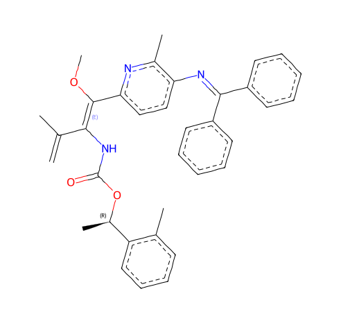 C=C(C)/C(NC(=O)O[C@H](C)c1ccccc1C)=C(\OC)c1ccc(N=C(c2ccccc2)c2ccccc2)c(C)n1